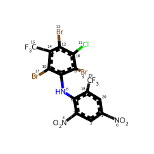 O=[N+]([O-])c1cc([N+](=O)[O-])c(Nc2c(Br)c(Cl)c(Br)c(C(F)(F)F)c2Br)c(C(F)(F)F)c1